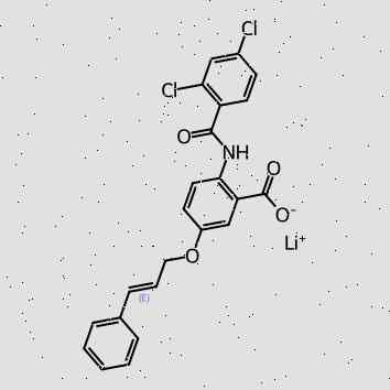 O=C(Nc1ccc(OC/C=C/c2ccccc2)cc1C(=O)[O-])c1ccc(Cl)cc1Cl.[Li+]